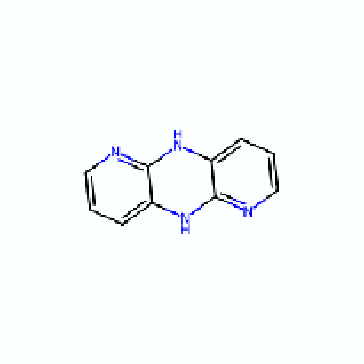 c1cnc2c(c1)Nc1ncccc1N2